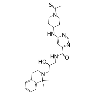 CC(=S)N1CCC(Nc2cc(C(=O)NC[C@H](O)CN3CCc4ccccc4C3(C)C)ncn2)CC1